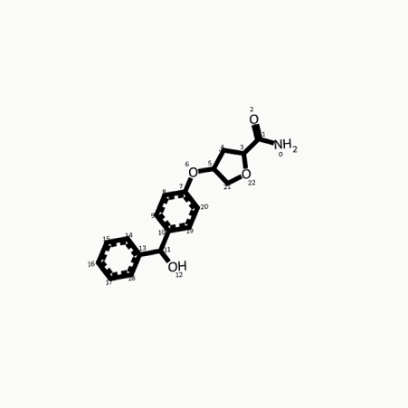 NC(=O)C1[CH]C(Oc2ccc(C(O)c3ccccc3)cc2)CO1